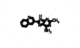 Cc1nc(N)c2nc(-c3cnc4ccccc4c3)[nH]c2n1